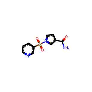 NC(=O)c1ccn(S(=O)(=O)c2cccnc2)c1